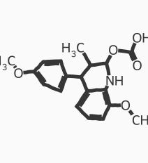 COc1ccc(C2c3cccc(OC)c3NC(OC(=O)O)C2C)cc1